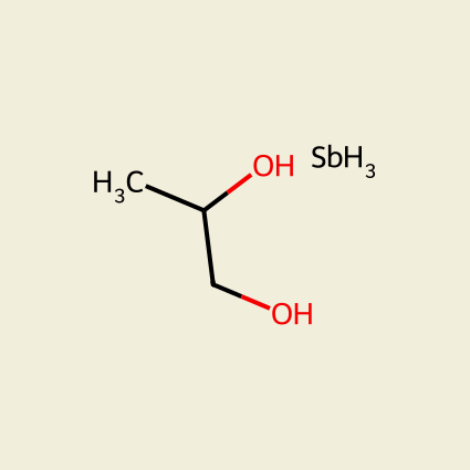 CC(O)CO.[SbH3]